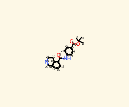 CC(C)(C)OC(=O)c1ccc(NC(=O)c2cccc3c2CCN=C3)cc1